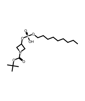 CCCCCCCCCOP(=O)(O)OC1CN(C(=O)OC(C)(C)C)C1